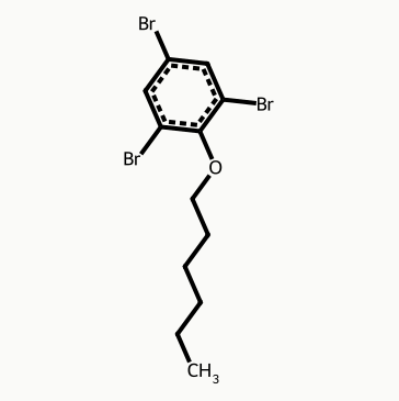 CCCCCCOc1c(Br)cc(Br)cc1Br